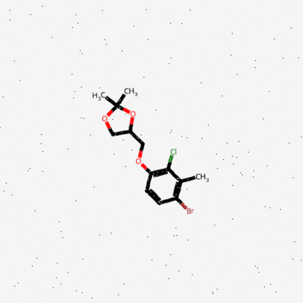 Cc1c(Br)ccc(OCC2COC(C)(C)O2)c1Cl